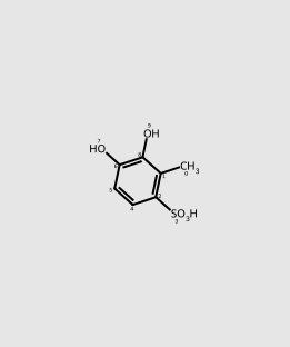 Cc1c(S(=O)(=O)O)ccc(O)c1O